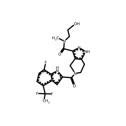 CN(CCO)C(=O)c1n[nH]c2c1CN(C(=O)c1cc3c(C(C)(F)F)ccc(F)c3[nH]1)CC2